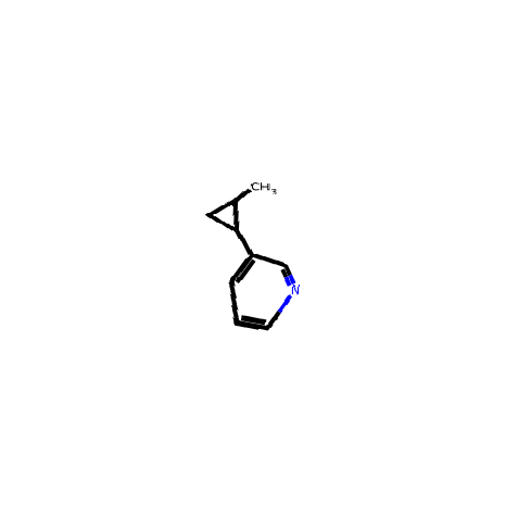 CC1CC1c1cccnc1